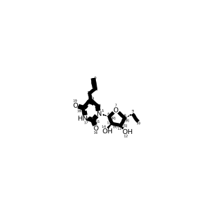 C=CCc1cn([C@@H]2O[C@H](CC)[C@@H](O)[C@H]2O)c(=O)[nH]c1=O